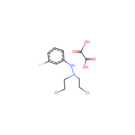 Fc1cccc(NN(CCCl)CCCl)c1.O=C(O)C(=O)O